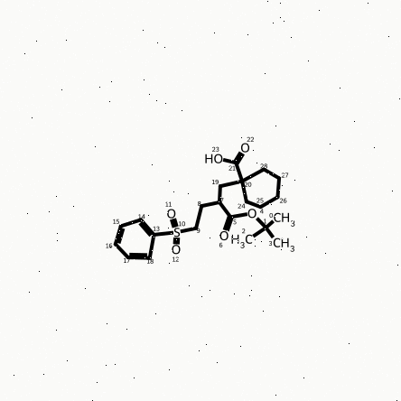 CC(C)(C)OC(=O)C(CCS(=O)(=O)c1ccccc1)CC1(C(=O)O)CCCCC1